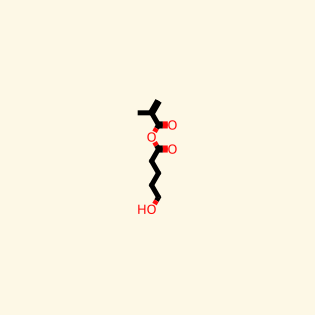 C=C(C)C(=O)OC(=O)CCCCO